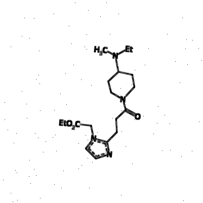 CCOC(=O)Cn1ccnc1CCC(=O)N1CCC(N(C)CC)CC1